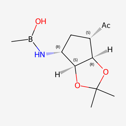 CB(O)N[C@@H]1C[C@H](C(C)=O)[C@H]2OC(C)(C)O[C@H]21